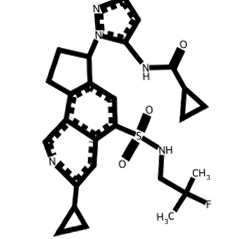 CC(C)(F)CNS(=O)(=O)c1cc2c(c3cnc(C4CC4)cc13)CCC2n1nccc1NC(=O)C1CC1